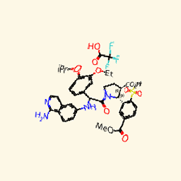 CCOc1cc(C(Nc2ccc3c(N)nccc3c2)C(=O)N2CC[C@@H](C(=O)O)[C@@H]2c2cc(C(=O)OC)ccc2S(=O)(=O)C(C)C)ccc1OC(C)C.O=C(O)C(F)(F)F